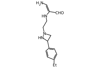 CCc1ccc(C2CN(CCN/C(C=O)=C\N)N2)cc1